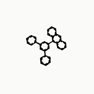 [c]1c2ccccc2c(-c2cc(-c3ccccc3)cc(-c3ccccc3)c2)c2ccccc12